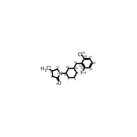 CC1CC(=O)N(C2CCCC(Cc3c(F)cccc3Cl)C2)C1